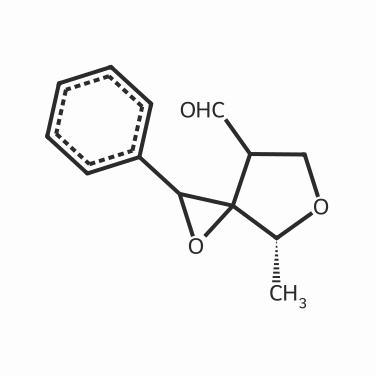 C[C@H]1OCC(C=O)C12OC2c1ccccc1